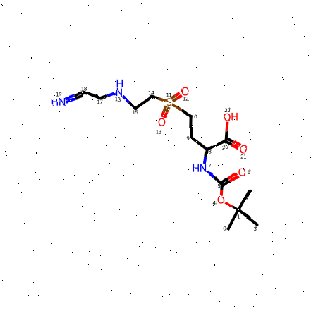 CC(C)(C)OC(=O)NC(CCS(=O)(=O)CCNCC=N)C(=O)O